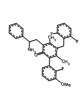 COc1cccc(-c2c(C)n(Cc3c(F)cccc3F)c(C)c(CC(N)c3ccccc3)c2=O)c1F